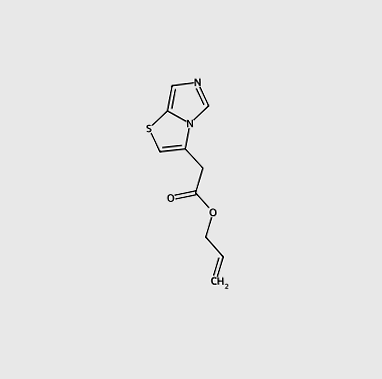 C=CCOC(=O)Cc1csc2cncn12